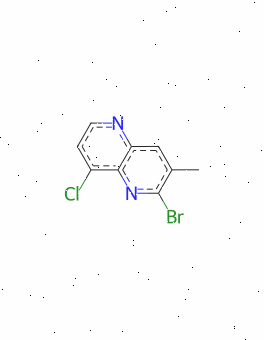 Cc1cc2nccc(Cl)c2nc1Br